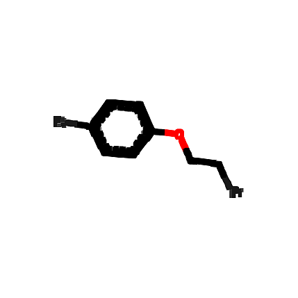 CCc1ccc(OCCC(C)C)cc1